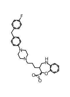 O=S(=O)=C1Oc2ccccc2NCC1CCCN1CCN(c2ccc(Cc3ccc(F)cc3)cc2)CC1